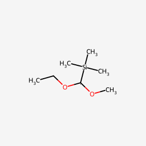 CCO[C](OC)[Si](C)(C)C